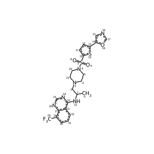 CC(CN1CCN(S(=O)(=O)c2ccc(-c3cnco3)s2)CC1)Nc1ncnc2c(C(F)(F)F)cccc12